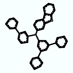 c1ccc(-c2cccc(N(c3cc(-c4ccccc4)cc(-c4ccccc4)c3)c3ccc4c(c3)oc3ccccc34)c2)cc1